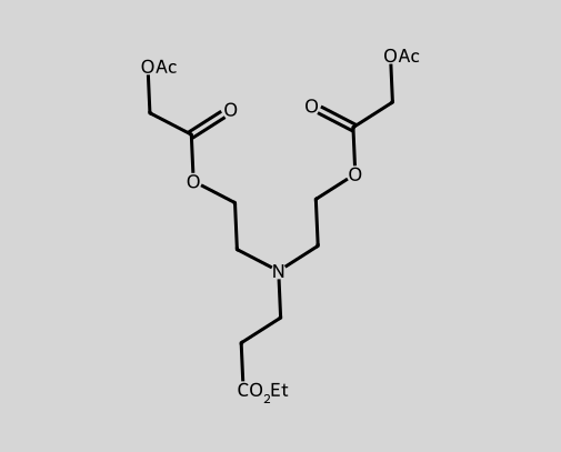 CCOC(=O)CCN(CCOC(=O)COC(C)=O)CCOC(=O)COC(C)=O